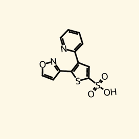 O=S(=O)(O)c1cc(-c2ccccn2)c(-c2ccon2)s1